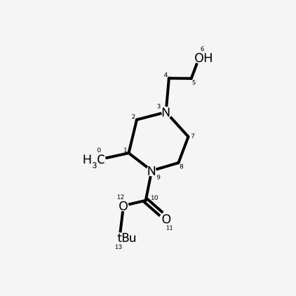 CC1CN(CCO)CCN1C(=O)OC(C)(C)C